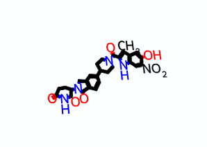 Cc1c(C(=O)N2CCC(c3ccc4c(c3)CN(C3CCC(=O)NC3=O)C4=O)CC2)[nH]c2cc([N+](=O)[O-])c(O)cc12